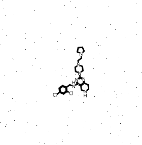 Clc1ccc(CNc2nc(N3CCN(CCN4CCCC4)CC3)nc3c2CNCC3)c(Cl)c1